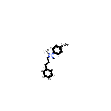 CCCc1ccc([N+](C)(CCCc2ccccc2)C(C)C)cc1